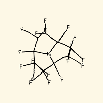 FC(F)C(F)(N(C(F)(C(F)F)C(F)(F)F)C(F)(C(F)F)C(F)(F)F)C(F)(F)F